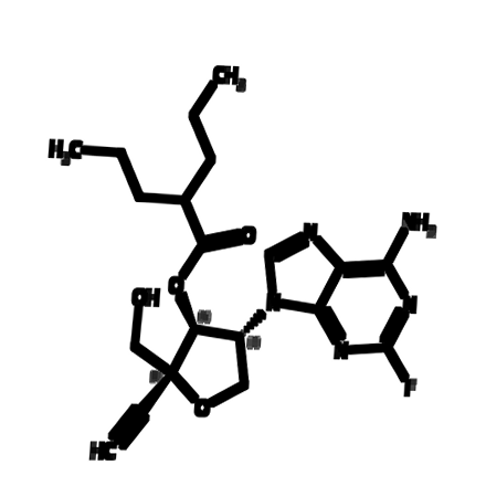 C#C[C@]1(CO)OC[C@@H](n2cnc3c(N)nc(F)nc32)[C@@H]1OC(=O)C(CCC)CCC